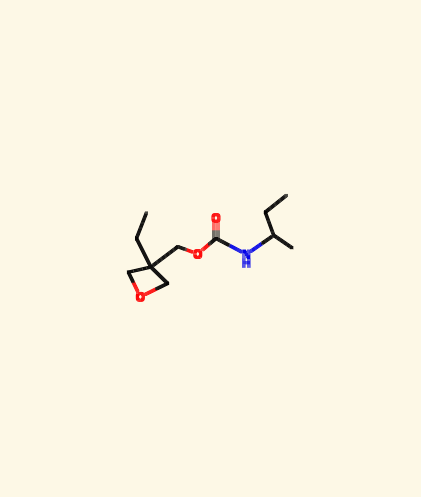 CCC(C)NC(=O)OCC1(CC)COC1